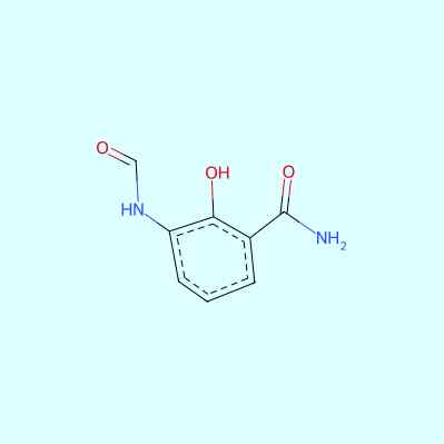 NC(=O)c1cccc(NC=O)c1O